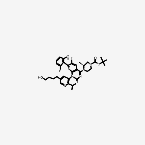 CC(C)c1ncc(CCCCO)cc1-n1c(=O)nc(N2CCN(C(=O)OC(C)(C)C)C[C@@H]2C)c2cc(F)c(-c3c(O)cccc3F)nc21